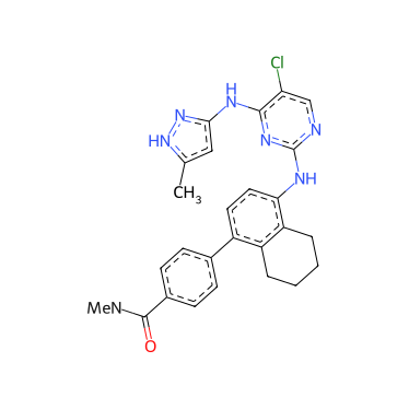 CNC(=O)c1ccc(-c2ccc(Nc3ncc(Cl)c(Nc4cc(C)[nH]n4)n3)c3c2CCCC3)cc1